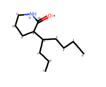 CCCCC(CCC)C1CCCNC1=O